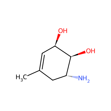 CC1=C[C@@H](O)[C@@H](O)[C@H](N)C1